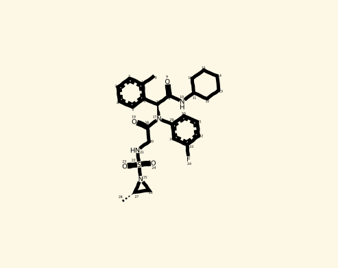 Cc1ccccc1[C@@H](C(=O)NC1CCCCC1)N(C(=O)CNS(=O)(=O)N1C[C@@H]1C)c1cccc(F)c1